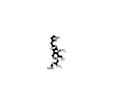 CC/C=C1/c2c(c3sc(Cc4cc[nH]n4)nc3n2C)C=NN1CC(C)/N=C\SC